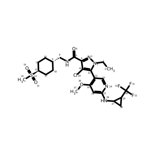 CCn1nc(C(=O)NC[C@H]2CC[C@H](S(C)(=O)=O)CC2)c(Cl)c1-c1cnc(NC2CC2C(F)(F)F)cc1OC